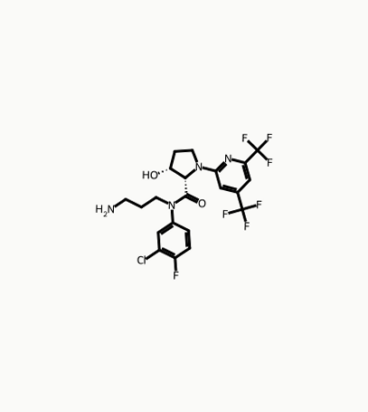 NCCCN(C(=O)[C@@H]1[C@H](O)CCN1c1cc(C(F)(F)F)cc(C(F)(F)F)n1)c1ccc(F)c(Cl)c1